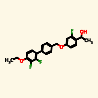 CCOc1ccc(-c2ccc(COc3ccc(C(C)O)c(F)c3)cc2)c(F)c1F